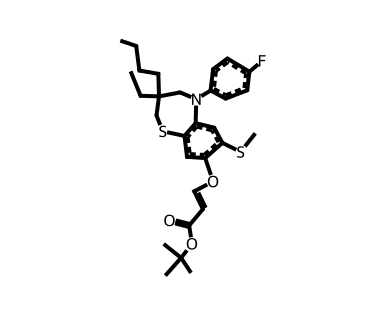 CCCCC1(CC)CSc2cc(O/C=C/C(=O)OC(C)(C)C)c(SC)cc2N(c2ccc(F)cc2)C1